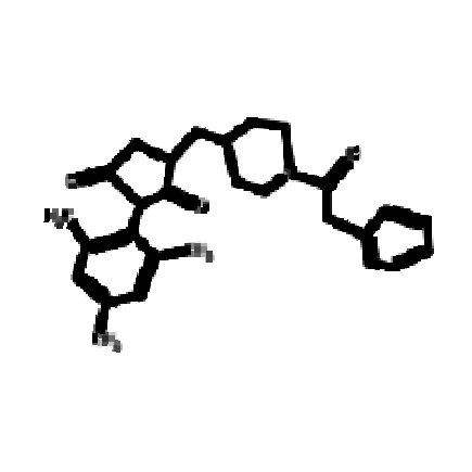 Cc1cc(C)c(C2C(=O)CC(CC3CCN(C(=O)Cc4ccccc4)CC3)C2=O)c(C)c1